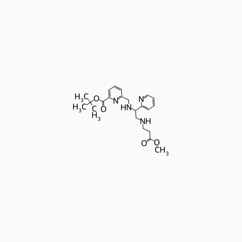 COC(=O)CCNCC(NCc1cccc(C(=O)OC(C)(C)C)n1)c1ccccn1